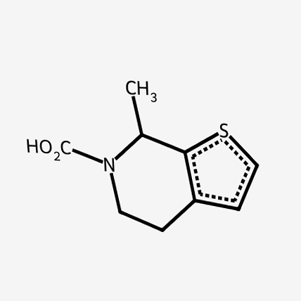 CC1c2sccc2CCN1C(=O)O